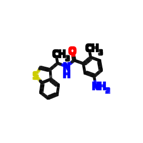 Cc1ccc(N)cc1C(=O)NC(C)c1csc2ccccc12